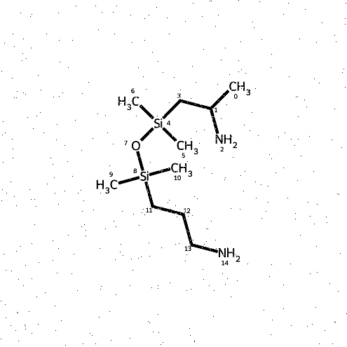 CC(N)C[Si](C)(C)O[Si](C)(C)CCCN